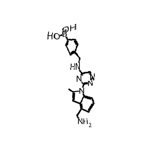 Cc1cc2c(CN)cccc2n1-c1nncc(NCc2ccc(B(O)O)cc2)n1